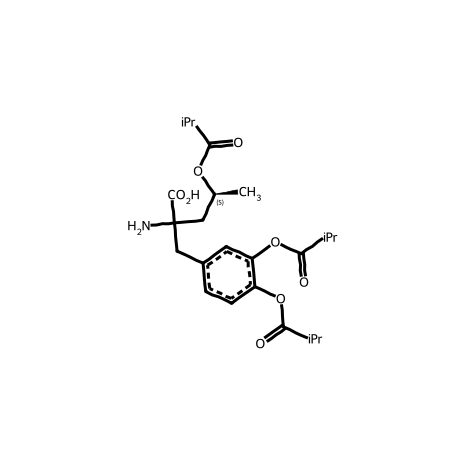 CC(C)C(=O)Oc1ccc(CC(N)(C[C@H](C)OC(=O)C(C)C)C(=O)O)cc1OC(=O)C(C)C